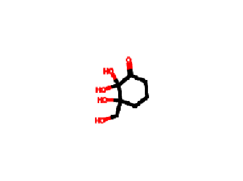 O=C1CCCC(O)(CO)C1(O)O